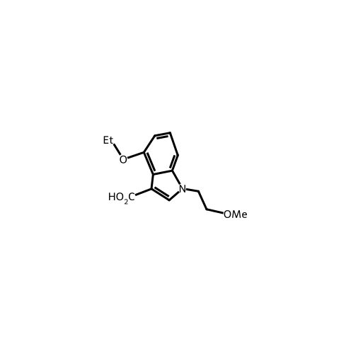 CCOc1cccc2c1c(C(=O)O)cn2CCOC